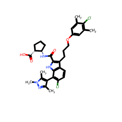 Cc1cc(OCCCc2c(C(=O)N[C@H]3CCC[C@H]3C(=O)O)[nH]c3c(-c4c(C)nn(C)c4C)c(Cl)ccc23)cc(C)c1Cl